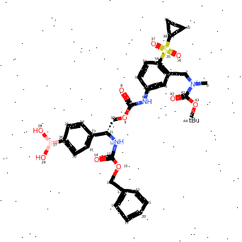 CN(Cc1cc(NC(=O)OC[C@H](NC(=O)OCc2ccccc2)c2ccc(B(O)O)cc2)ccc1S(=O)(=O)C1CC1)C(=O)OC(C)(C)C